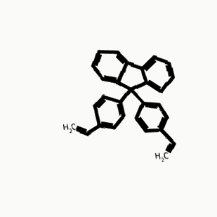 C=Cc1ccc(C2(c3ccc(C=C)cc3)c3ccccc3-c3ccccc32)cc1